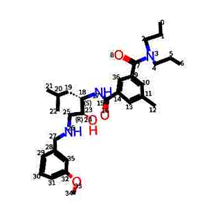 CCCN(CCC)C(=O)c1cc(C)cc(C(=O)N[C@@H](CC(C)C)[C@H](O)CNCc2cccc(OC)c2)c1